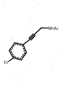 CCc1ccc(C#CCNC(C)=O)cc1